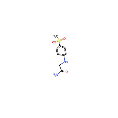 CS(=O)(=O)c1ccc(NCC(N)=O)cc1